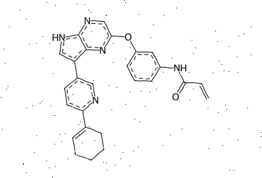 C=CC(=O)Nc1cccc(Oc2cnc3[nH]cc(-c4ccc(C5=CCCCC5)nc4)c3n2)c1